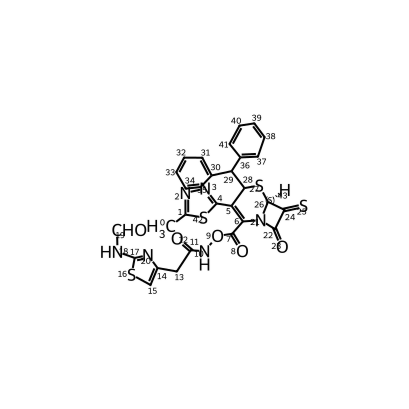 Cc1nnc(C2=C(C(=O)ONC(=O)Cc3csc(NC=O)n3)N3C(=O)C(=S)[C@@H]3SC2C(c2ccccc2)c2ccccc2)s1